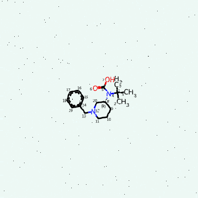 CC(C)(C)N(C(=O)O)[C@@H]1CCCN(Cc2ccccc2)C1